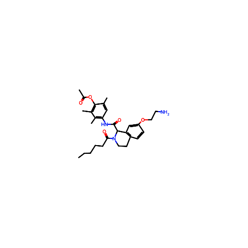 CCCCCC(=O)N1CCc2ccc(OCCN)cc2C1C(=O)Nc1cc(C)c(OC(C)=O)c(C)c1C